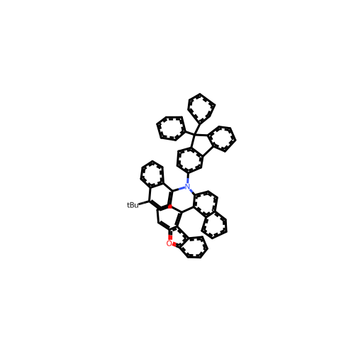 CC(C)(C)C1=C=C=C(N(c2ccc3c(c2)-c2ccccc2C3(c2ccccc2)c2ccccc2)c2ccc3ccccc3c2C2=c3c(oc4ccccc34)=CCC2)c2ccccc21